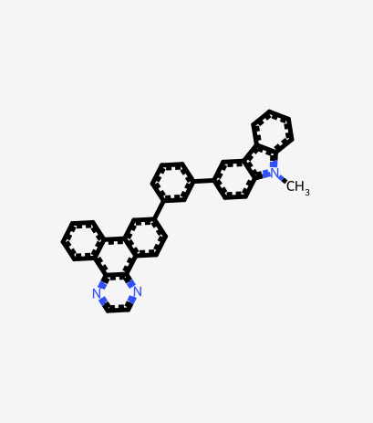 Cn1c2ccccc2c2cc(-c3cccc(-c4ccc5c(c4)c4ccccc4c4nccnc54)c3)ccc21